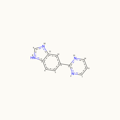 c1cnc(-c2ccc3[nH]cnc3c2)nc1